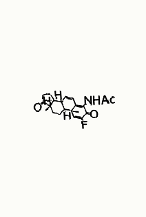 CC(=O)NC1=C2C=C[C@@H]3[C@H](CC[C@]4(C)C(=O)CC[C@@H]34)[C@@]2(C)C=C(F)C1=O